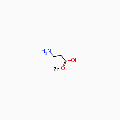 NCCC(=O)O.[Zn]